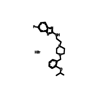 Br.CC(C)Oc1ccccc1CN1CCN(CCNc2nc3ccc(F)cc3s2)CC1